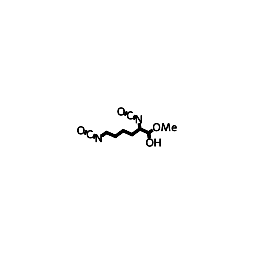 COC(O)C(CCCCN=C=O)N=C=O